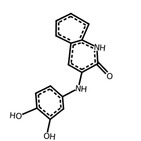 O=c1[nH]c2ccccc2cc1Nc1ccc(O)c(O)c1